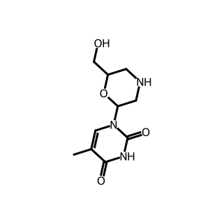 Cc1cn(C2CNCC(CO)O2)c(=O)[nH]c1=O